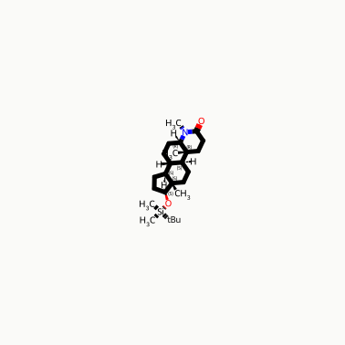 CN1C(=O)CC[C@]2(C)[C@H]3CC[C@]4(C)[C@@H](O[Si](C)(C)C(C)(C)C)CC[C@H]4[C@@H]3CC[C@@H]12